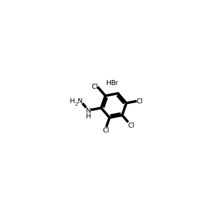 Br.NNc1c(Cl)cc(Cl)c(Cl)c1Cl